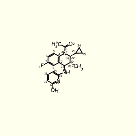 CC(=O)N1c2ccc(F)cc2C(Nc2cccc(O)n2)[C@@H](C)[C@@H]1C1CC1